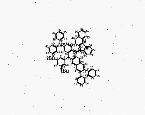 CC(C)(C)c1cc(C2c3cc4cc5c6ccccc6c6ccccc6c5cc4cc3B3c4c(cc(N(c5ccccc5)c5ccccc5)cc42)-c2cc4ccccc4c4c5ccccc5n3c24)cc(C(C)(C)C)c1